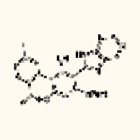 C=C(C)c1ccc(C)cc1-c1c(O)cc(CCCCC)c(-c2nc3cncnc3[nH]2)c1O